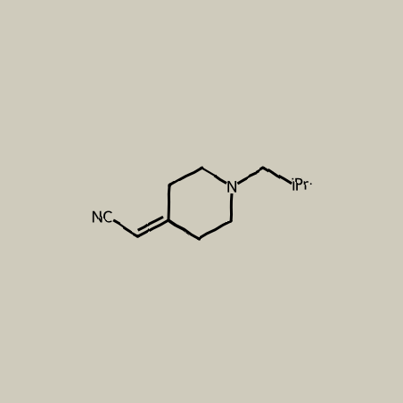 C[C](C)CN1CCC(=CC#N)CC1